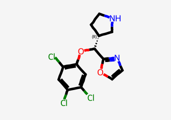 Clc1cc(Cl)c(OC(c2ncco2)[C@@H]2CCNC2)cc1Cl